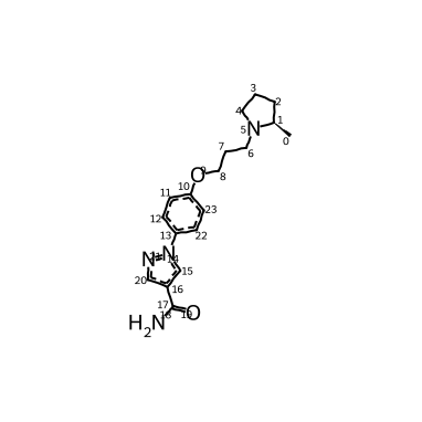 C[C@@H]1CCCN1CCCOc1ccc(-n2cc(C(N)=O)cn2)cc1